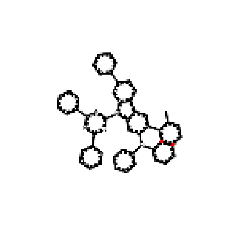 Cc1ccccc1-c1cc2c3ccc(-c4ccccc4)cc3n(-c3nc(-c4ccccc4)nc(-c4ccccc4)n3)c2cc1N(c1ccccc1)c1ccccc1